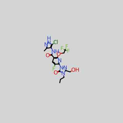 CCCn1c(CO)nn(-c2nc(OCC(F)(F)F)c(C(=O)Nc3c(C)n[nH]c3Cl)cc2F)c1=O